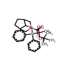 CC(C)(C)OC(=O)N1CC2CCC(C1)C2O[Si](c1ccccc1)(c1ccccc1)C(C)(C)C